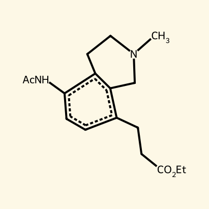 CCOC(=O)CCc1ccc(NC(C)=O)c2c1CN(C)CC2